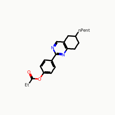 CCCCCC1CCc2nc(-c3ccc(OC(=O)CC)cc3)ncc2C1